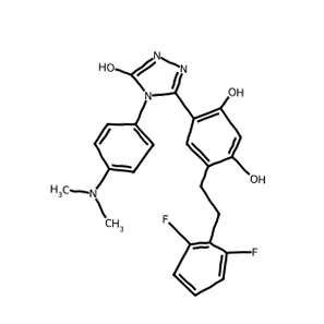 CN(C)c1ccc(-n2c(O)nnc2-c2cc(CCc3c(F)cccc3F)c(O)cc2O)cc1